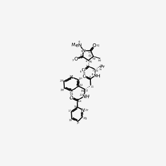 CNN1C(=O)[C@@H](C(=O)[C@@H](NC(=O)C[C@H](NC(=O)c2ccccn2)c2ccccc2)C(C)C)[C@H](C)C1=O